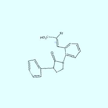 CC/C(=C\c1ccccc1N1CCC(c2ccccc2)C1=O)C(=O)O